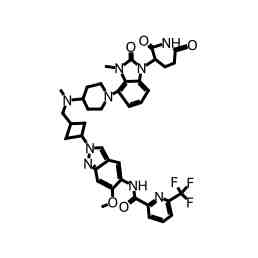 COc1cc2nn(C3CC(CN(C)C4CCN(c5cccc6c5n(C)c(=O)n6C5CCC(=O)NC5=O)CC4)C3)cc2cc1NC(=O)c1cccc(C(F)(F)F)n1